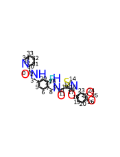 O=C(NCc1ccc(CNC(=O)c2scnc2Oc2ccc3c(c2)OCO3)c(F)c1)c1ccccn1